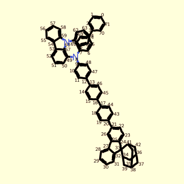 c1ccc(-c2ccc(N(c3ccc(-c4ccc(-c5ccc(-c6ccc7c(c6)-c6ccccc6C76C7CC8CC(C7)CC6C8)cc5)cc4)cc3)c3cccc4c5ccccc5n(-c5ccccc5)c34)cc2)cc1